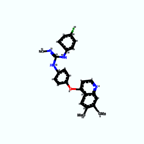 COc1cc2nccc(Oc3ccc(N/C(=N\C#N)Nc4ccc(F)cc4)cc3)c2cc1OC